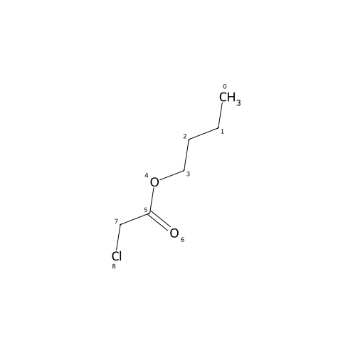 CCCCOC(=O)CCl